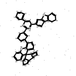 C1=Cc2oc3cc(-c4cc(-c5ccccc5)nc(-c5cccc(-c6cccc7c6Oc6ccccc6C76c7ccccc7-c7ccccc76)c5)n4)ccc3c2CC1